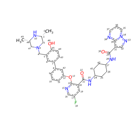 C[C@@H]1CN(Cc2cc(-c3cccc(Oc4ncc(F)cc4C(=O)NC4CCC(NC(=O)c5cnn6cccnc56)CC4)c3)ccc2O)C[C@H](C)N1